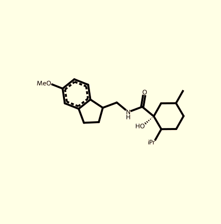 COc1ccc2c(c1)CCC2CNC(=O)[C@@]1(O)CC(C)CCC1C(C)C